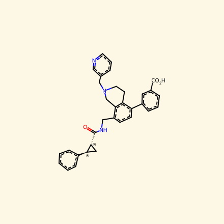 O=C(O)c1cccc(-c2ccc(CNC(=O)[C@@H]3C[C@H]3c3ccccc3)c3c2CCN(Cc2cccnc2)C3)c1